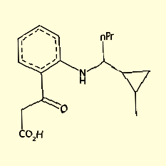 CCCC(Nc1ccccc1C(=O)CC(=O)O)C1CC1C